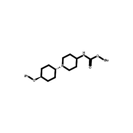 CC(C)O[C@H]1CC[C@H](N2CCC(NC(=O)OC(C)(C)C)CC2)CC1